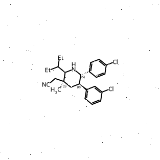 CCC(CC)C1N[C@H](c2ccc(Cl)cc2)[C@@H](c2cccc(Cl)c2)C[C@@]1(C)CC#N